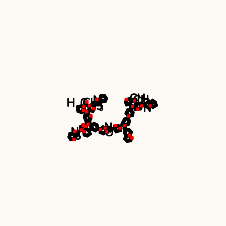 CC1(C)c2ccccc2N(c2ccc(-c3ccc(N(c4ccc(-c5nc6cc(-c7ccc(N(c8ccc(-c9nc%10ccccc%10s9)cc8)c8ccc(N9c%10ccccc%10C(C)(C)c%10cc(-c%11nc%12ccccc%12s%11)ccc%109)cc8)c(-c8ccccc8)c7)ccc6o5)cc4)c4ccc5ccccc5c4)cc3)cc2)c2ccc(-c3nc4ccccc4o3)cc21